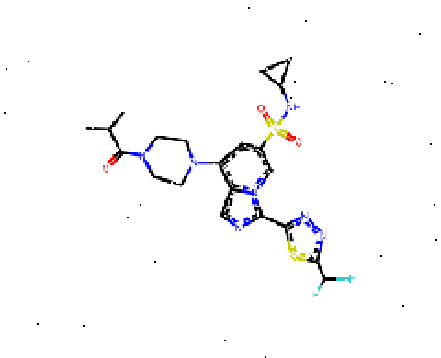 CC(C)C(=O)N1CCN(c2cc(S(=O)(=O)NC3CC3)cn3c(-c4nnc(C(F)F)s4)ncc23)CC1